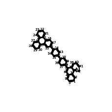 c1ccc2c(c1)cc(-c1ccc(-c3ccc(-c4ccc5c6ccccc6c6ccccc6c5c4)cc3)cc1)c1cccnc12